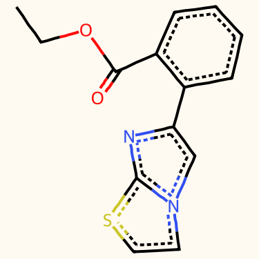 CCOC(=O)c1ccccc1-c1cn2ccsc2n1